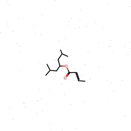 CC=CC(=O)OC(CC(C)C)CC(C)C